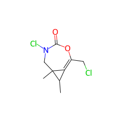 CC1C2=C(CCl)OC(=O)N(Cl)CC21C